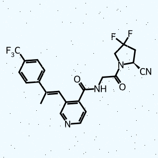 C/C(=C\c1cnccc1C(=O)NCC(=O)N1CC(F)(F)C[C@H]1C#N)c1ccc(C(F)(F)F)cc1